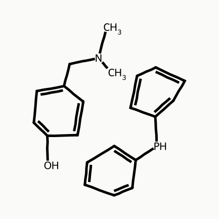 CN(C)Cc1ccc(O)cc1.c1ccc(Pc2ccccc2)cc1